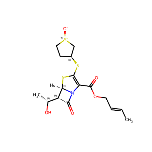 CC=CCOC(=O)C1=C(S[C@H]2CC[S@@+]([O-])C2)S[C@@H]2[C@@H]([C@@H](C)O)C(=O)N12